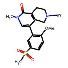 COc1ccc(S(C)(=O)=O)cc1-c1cn(C)c(=O)c2c1CN(C(C)C)CC2